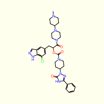 CN1CCC(N2CCN(C(=O)C(Cc3cc(Cl)c4[nH]ncc4c3)OC(=O)N3CCC(n4nc(-c5ccccc5)[nH]c4=O)CC3)CC2)CC1